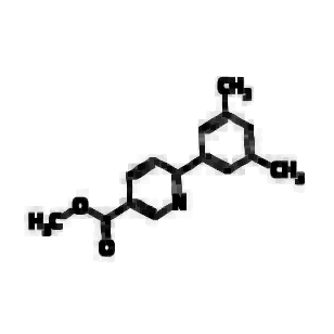 COC(=O)c1ccc(-c2cc(C)cc(C)c2)nc1